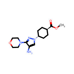 COC(=O)[C@H]1CC[C@H](n2cc(N)c(N3CCOCC3)n2)CC1